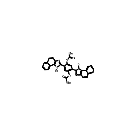 CCn1c(-c2cc(OC(=O)C(C)(C)C)c(-c3nc4ccc5ccccc5c4n3CC)cc2OC(=O)C(C)(C)C)nc2ccc3ccccc3c21